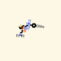 CCN(CC)CCCS(=O)(=O)N[C@H](Cc1cccs1)c1n[nH]c(-c2ccc(OC)cc2)n1